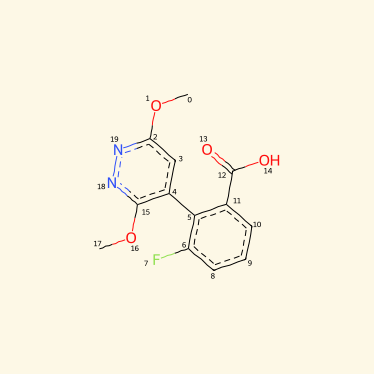 COc1cc(-c2c(F)cccc2C(=O)O)c(OC)nn1